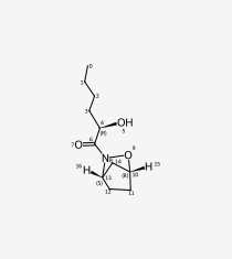 CCCC[C@@H](O)C(=O)N1O[C@@H]2CC[C@H]1C2